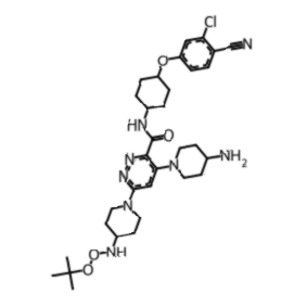 CC(C)(C)OONC1CCN(c2cc(N3CCC(N)CC3)c(C(=O)NC3CCC(Oc4ccc(C#N)c(Cl)c4)CC3)nn2)CC1